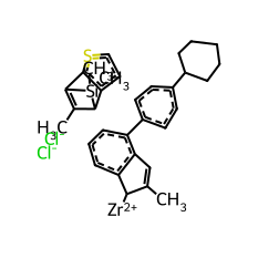 CC1=C2c3sccc3C1[Si]2(C)C.CC1=Cc2c(-c3ccc(C4CCCCC4)cc3)cccc2[CH]1[Zr+2].[Cl-].[Cl-]